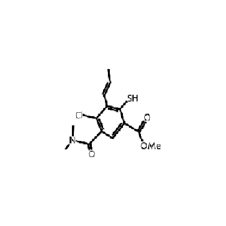 CC=Cc1c(S)c(C(=O)OC)cc(C(=O)N(C)C)c1Cl